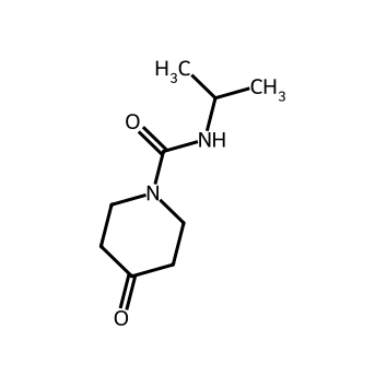 CC(C)NC(=O)N1CCC(=O)CC1